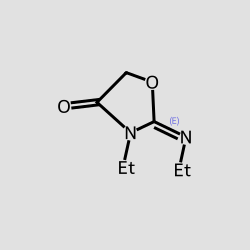 CC/N=C1/OCC(=O)N1CC